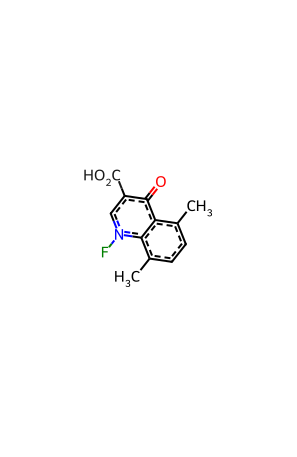 Cc1ccc(C)c2c1c(=O)c(C(=O)O)cn2F